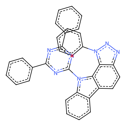 c1ccc(-c2nc(-c3ccccc3)nc(-n3c4ccccc4c4ccc5nnn(-c6ccccc6)c5c43)n2)cc1